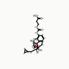 O=C(O)CCOC(=O)Oc1ccc2c3c1O[C@@H]1COCCC[C@]4(O)[C@H](C2)N(CC2CC2)CC[C@@]314